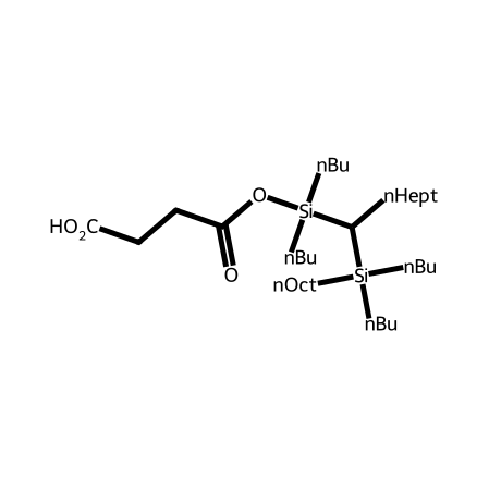 CCCCCCCC[Si](CCCC)(CCCC)C(CCCCCCC)[Si](CCCC)(CCCC)OC(=O)CCC(=O)O